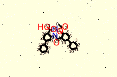 CC(=O)Oc1ccc(-c2ccccc2)cc1C(=O)Nc1cc(-c2ccccc2)ccc1C(=O)O